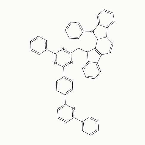 C1=CC2c3ccccc3N(c3ccccc3)C2c2c1c1ccccc1n2Cc1nc(-c2ccccc2)nc(-c2ccc(-c3cccc(-c4ccccc4)n3)cc2)n1